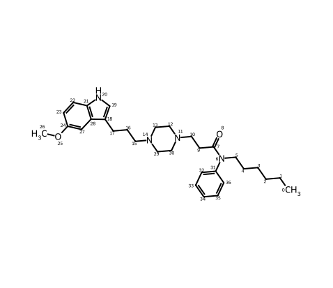 CCCCCCN(C(=O)CCN1CCN(CCCc2c[nH]c3ccc(OC)cc23)CC1)c1ccccc1